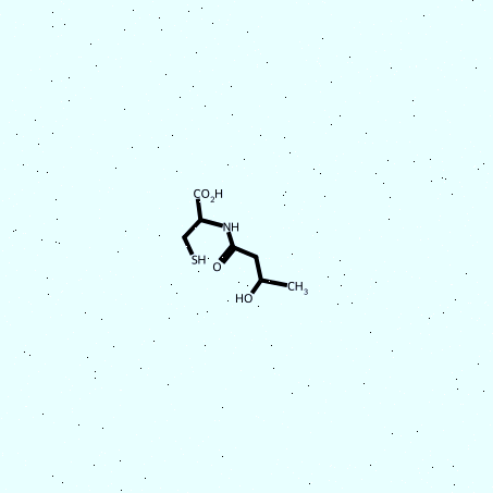 CC(O)CC(=O)NC(CS)C(=O)O